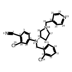 N#Cc1ccc(N(Cc2ccccc2Cl)[C@H]2CCN(Cc3ccncc3)C2)cc1Cl